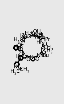 CCC(C)C1NC(=O)C2CCCN2C(=O)C(Cc2cccc(-c3ccnc(N(C)C)c3)c2)N(C)C(=O)C(Cc2ccccc2)NC(=O)CN(C)C(=O)C([C@H](C)CC)OC(=O)C(C(C)(C)O)N(C)C(=O)C(CC(C)C)NC(=O)[C@H](C)N(C)C1=O